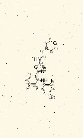 CCc1ccc(Nc2c(-c3nnc(NCCN4CCOCC4)o3)ccc(F)c2F)c(F)c1